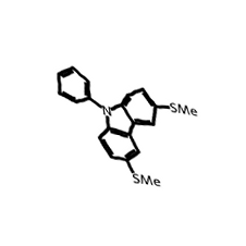 CSc1ccc2c(c1)c1cc(SC)ccc1n2-c1ccccc1